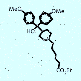 CCOC(=O)CCCCCN1CCC(C(O)(c2ccc(OC)cc2)c2ccc(OC)cc2)CC1